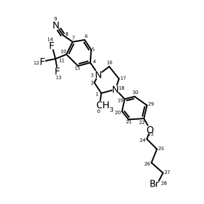 CC1CN(c2ccc(C#N)c(C(F)(F)F)c2)CCN1c1ccc(OCCCCBr)cc1